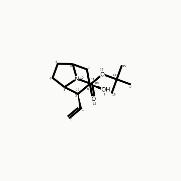 C=C[C@H]1C2CCC(C[C@H]1O)N2C(=O)OC(C)(C)C